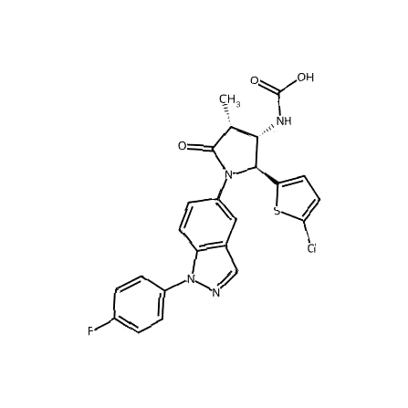 C[C@H]1C(=O)N(c2ccc3c(cnn3-c3ccc(F)cc3)c2)[C@H](c2ccc(Cl)s2)[C@H]1NC(=O)O